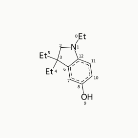 CCN1CC(CC)(CC)c2cc(O)ccc21